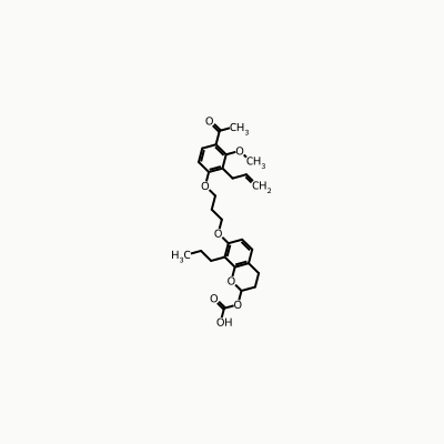 C=CCc1c(OCCCOc2ccc3c(c2CCC)OC(OC(=O)O)CC3)ccc(C(C)=O)c1OC